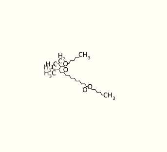 CCCCCCOC(=O)CCCCCCCCCCC(C(C)C)C(C(=O)OCCCCCC)C(C)C